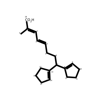 CC(=CC=CCCC(C1=CCCC1)C1=CCCC1)C(=O)O